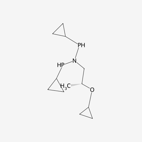 C[C@H](CN(PC1CC1)PC1CC1)OC1CC1